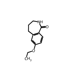 CCOc1ccc2c(c1)CCCNC2=O